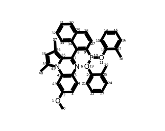 COc1ccc2nc(-c3c(P(Oc4ccccc4C)Oc4ccccc4C)ccc4ccccc34)c3c(C)cc(C)n3c2c1